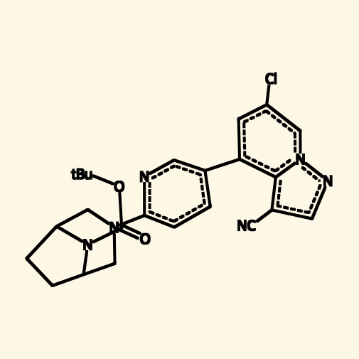 CC(C)(C)OC(=O)N1C2CCC1CN(c1ccc(-c3cc(Cl)cn4ncc(C#N)c34)cn1)C2